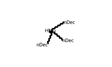 CCCCCCCCCCCCCCCCCCCc1[nH]cc(CCCCCCCCCCCCCCCCC)[n+]1CCCCCCCCCCCCCCCCCC